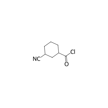 N#CC1CCCC(C(=O)Cl)C1